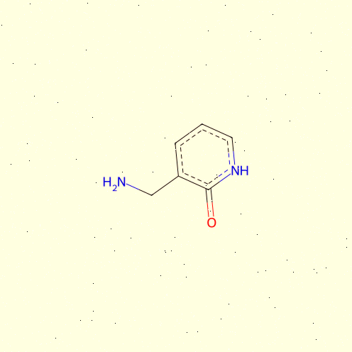 NCc1ccc[nH]c1=O